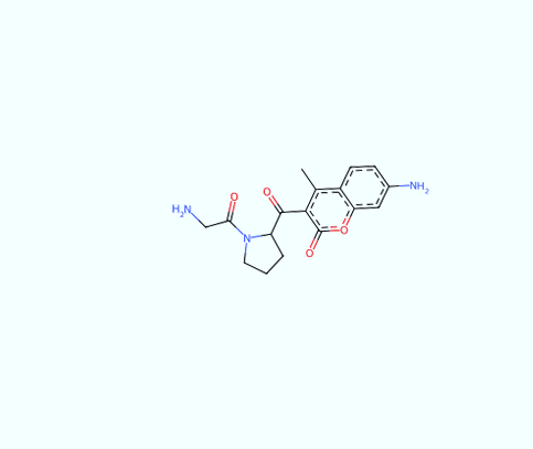 Cc1c(C(=O)C2CCCN2C(=O)CN)c(=O)oc2cc(N)ccc12